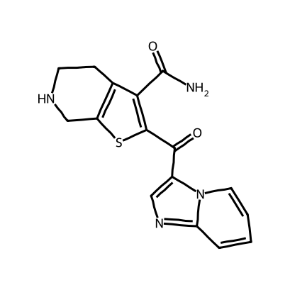 NC(=O)c1c(C(=O)c2cnc3ccccn23)sc2c1CCNC2